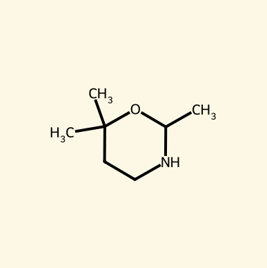 CC1NCCC(C)(C)O1